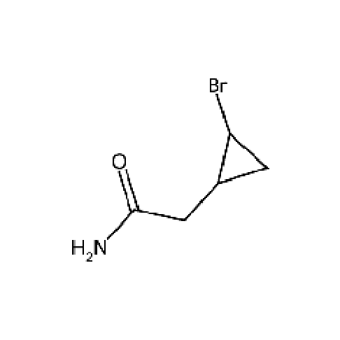 NC(=O)CC1CC1Br